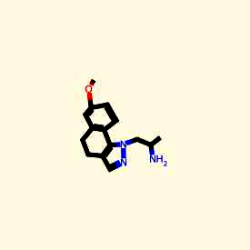 COc1ccc2c(c1)CCc1cnn(CC(C)N)c1-2